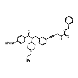 CCCCCc1ccc(C(=O)N(Cc2cccc(C#CCNC(=O)OCc3ccccc3)c2)C2CCN(CCC(C)C)CC2)cc1